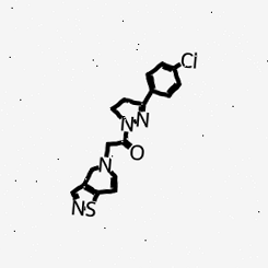 O=C(CN1C=Cc2sncc2C1)N1CCC(c2ccc(Cl)cc2)=N1